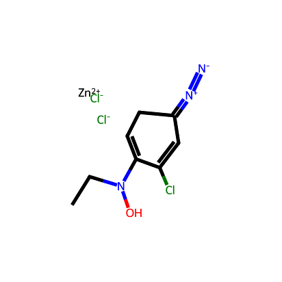 CCN(O)C1=CCC(=[N+]=[N-])C=C1Cl.[Cl-].[Cl-].[Zn+2]